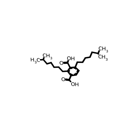 CC(C)CCCCCc1ccc(C(=O)O)c(CCCCCC(C)C)c1C(=O)O